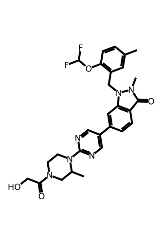 Cc1ccc(OC(F)F)c(Cn2c3cc(-c4cnc(N5CCN(C(=O)CO)CC5C)nc4)ccc3c(=O)n2C)c1